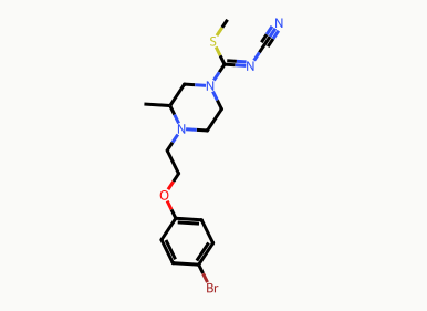 CS/C(=N\C#N)N1CCN(CCOc2ccc(Br)cc2)C(C)C1